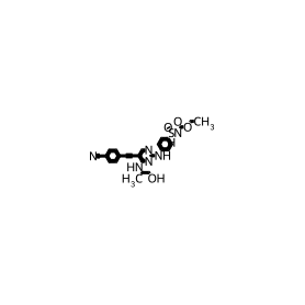 CCOC(=O)/N=[SH](=O)/c1ccc(Nc2ncc(C#Cc3ccc(C#N)cc3)c(N[C@H](C)CO)n2)cc1